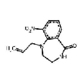 C=CCN1CCNC(=O)c2cccc([N+](=O)[O-])c21